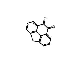 O=C1C(=O)c2cccc3c2-c2c(cccc21)C3